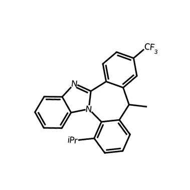 CC(C)c1cccc2c1-n1c(nc3ccccc31)-c1ccc(C(F)(F)F)cc1C2C